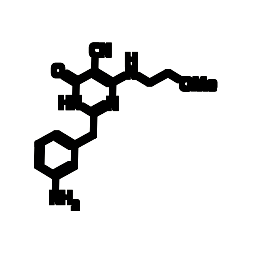 COCCNc1nc(Cc2cccc(N)c2)[nH]c(=O)c1C#N